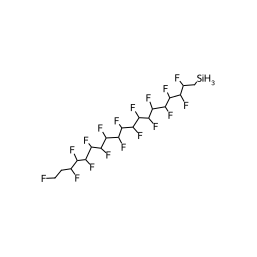 FCCC(F)C(F)C(F)C(F)C(F)C(F)C(F)C(F)C(F)C(F)C(F)C(F)C(F)C(F)C(F)C(F)C[SiH3]